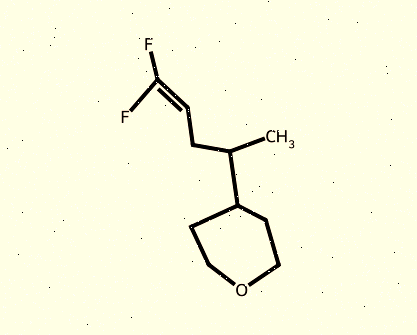 CC(CC=C(F)F)C1CCOCC1